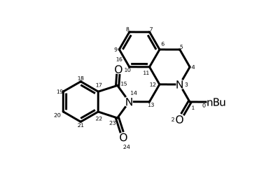 CCCCC(=O)N1CCc2ccccc2C1CN1C(=O)c2ccccc2C1=O